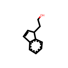 OCCC1C=Cc2ccccc21